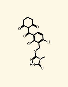 Cn1c(SCc2c(Cl)ccc(C(=O)C3C(=O)CCCC3=O)c2Cl)n[nH]c1=O